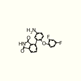 Nc1ccc(Oc2ccc(F)cc2F)c(-c2cccc3c2C(=O)NC3=O)c1